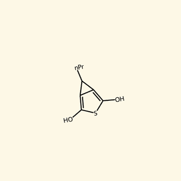 CCCC1c2c(O)sc(O)c21